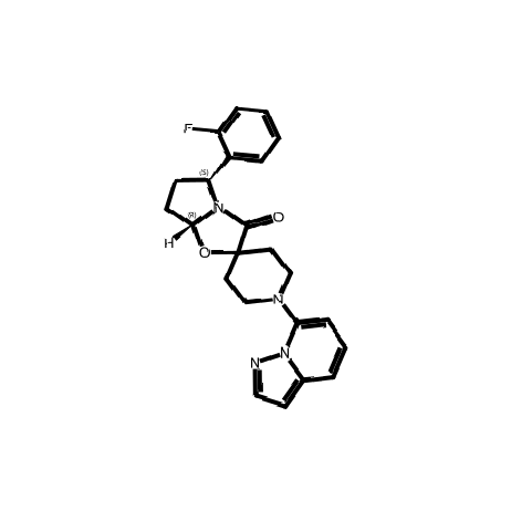 O=C1N2[C@@H](CC[C@H]2c2ccccc2F)OC12CCN(c1cccc3ccnn13)CC2